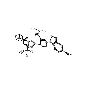 C#Cc1cnn2c(-c3cc(NC(C)C)c(-c4nnc(N5CC6CC(C5)N6C(=O)CN=S(C)(C)=O)s4)cn3)ccc2c1